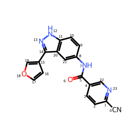 N#Cc1ccc(C(=O)Nc2ccc3[nH]nc(-c4ccoc4)c3c2)cn1